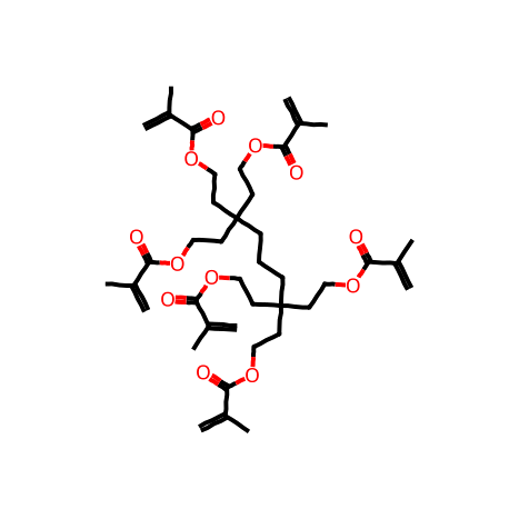 C=C(C)C(=O)OCCC(CCCC(CCOC(=O)C(=C)C)(CCOC(=O)C(=C)C)CCOC(=O)C(=C)C)(CCOC(=O)C(=C)C)CCOC(=O)C(=C)C